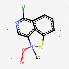 CC[N+]1(O[O])Sc2cccc3c(Cl)ncc1c23